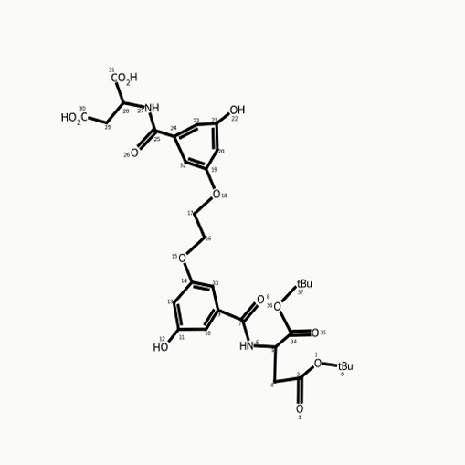 CC(C)(C)OC(=O)CC(NC(=O)c1cc(O)cc(OCCOc2cc(O)cc(C(=O)NC(CC(=O)O)C(=O)O)c2)c1)C(=O)OC(C)(C)C